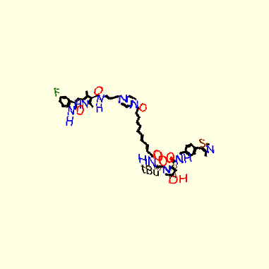 Cc1ncsc1-c1ccc(CNC(=O)[C@@H]2C[C@@H](O)CN2C(=O)[C@@H](NC(=O)CCCCCCCCCC(=O)N2CCN(CCCNC(=O)c3c(C)[nH]c(/C=C4\C(=O)Nc5ccc(F)cc54)c3C)CC2)C(C)(C)C)cc1